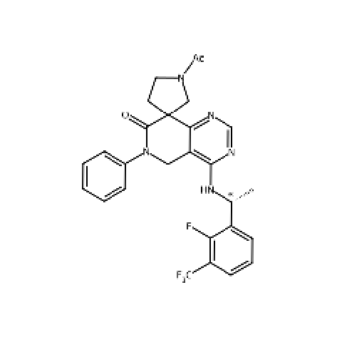 CC(=O)N1CCC2(C1)C(=O)N(c1ccccc1)Cc1c(N[C@H](C)c3cccc(C(F)(F)F)c3F)ncnc12